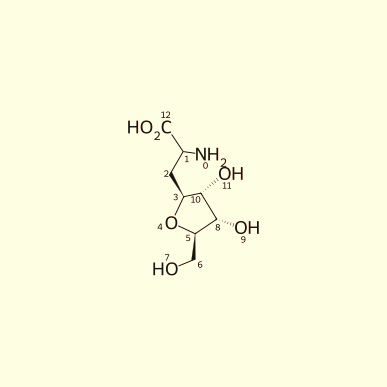 NC(C[C@@H]1O[C@H](CO)[C@@H](O)[C@H]1O)C(=O)O